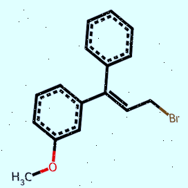 COc1cccc(C(=CCBr)c2ccccc2)c1